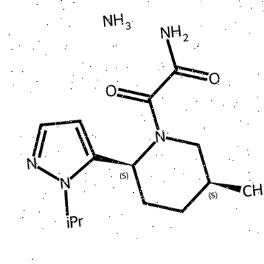 CC(C)n1nccc1[C@@H]1CC[C@H](C)CN1C(=O)C(N)=O.N